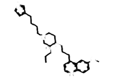 CCC[C@H]1CN(CCCCc2ccoc2)CC[C@H]1CCCc1ccnc2ccc(OC)cc12